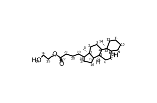 C[C@]12CCC3[C@@H](CC[C@@H]4CCCC[C@]34C)C1CCC2CCCC(=O)OCCO